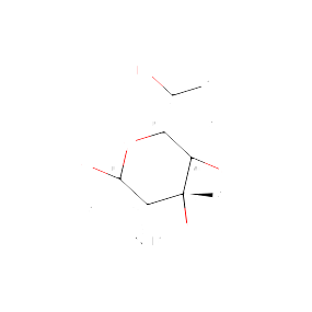 CC(=O)N[C@@H]1[C@](O)(C(C)=O)O[C@H](C(O)C(C)=O)[C@](O)(C(C)=O)[C@@]1(O)C(C)=O